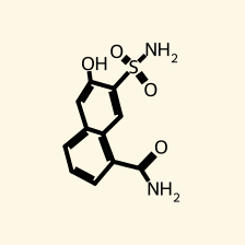 NC(=O)c1cccc2cc(O)c(S(N)(=O)=O)cc12